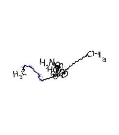 CC/C=C\C/C=C\C/C=C\C/C=C\CCCCCCC(=O)O[C@H](COC(=O)CCCCCCCCCCCCCC)COP(=O)(O)OCCN